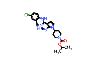 CC(C)OC(=O)N1CCC(n2ccc3c(Nc4ccc(Cl)cc4C#N)ncnc32)CC1